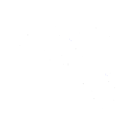 CC1(C)c2c(ccc3ccccc23)N(CCCS(=O)(=O)O)C1C=Cc1cnc2ccccc2c1